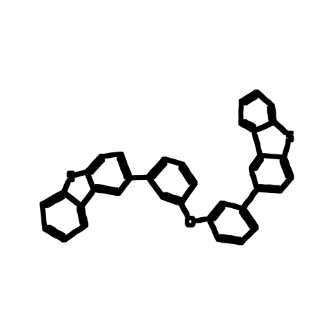 c1cc(Oc2cccc(-c3ccc4sc5ccccc5c4c3)c2)cc(-c2ccc3sc4ccccc4c3c2)c1